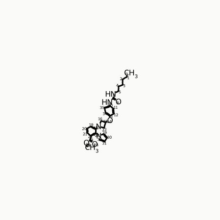 CCCCCCNC(=O)Nc1ccc(OC2CN(c3cccc(C(=O)OC)c3-n3cccc3)C2)cc1